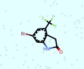 O=C1Cc2c(cc(Br)cc2C(F)(F)F)N1